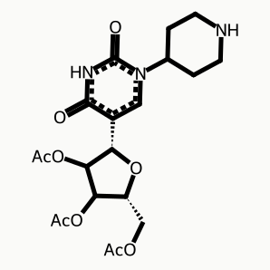 CC(=O)OC[C@H]1O[C@@H](c2cn(C3CCNCC3)c(=O)[nH]c2=O)C(OC(C)=O)C1OC(C)=O